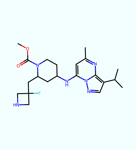 COC(=O)N1CCC(Nc2cc(C)nc3c(C(C)C)cnn23)CC1CC1(F)CNC1